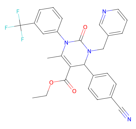 CCOC(=O)C1=C(C)N(c2cccc(C(F)(F)F)c2)C(=O)N(Cc2cccnc2)C1c1ccc(C#N)cc1